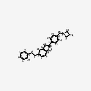 c1ccc(CCc2ccc3oc(-c4ccc(CN5CCC5)cc4)cc3c2)cc1